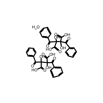 O.O=C(O)C(O)(C(=O)c1ccccc1)C(O)(C(=O)O)C(=O)c1ccccc1.O=C(O)C(O)(C(=O)c1ccccc1)C(O)(C(=O)O)C(=O)c1ccccc1